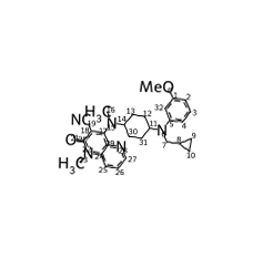 COc1cccc(N(CC2CC2)C2CCC(N(C)c3c(C#N)c(=O)n(C)c4cccnc34)CC2)c1